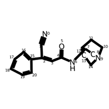 N#CC(=CC(=O)NC1CN2CCC1CC2)c1ccccc1